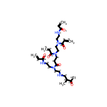 C=CC(=O)NCCN(CCN(CCC(=O)N(CCNCC(C)C(=O)CC)CCNC(=O)C=C)C(=O)C=C)C(=O)C=C